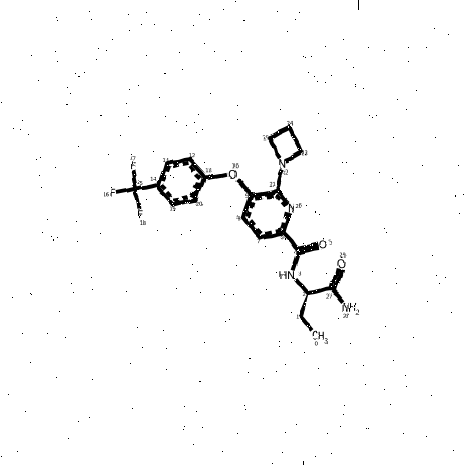 CC[C@@H](NC(=O)c1ccc(Oc2ccc(C(F)(F)F)cc2)c(N2CCC2)n1)C(N)=O